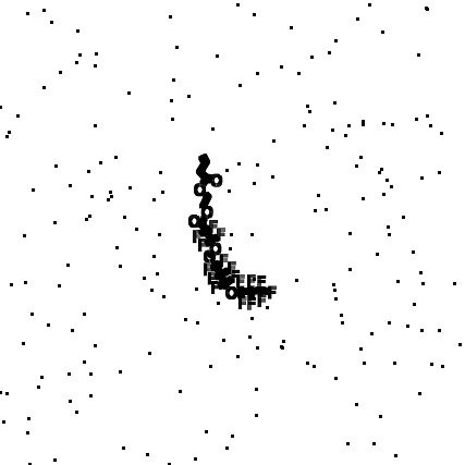 C=CCC(=O)OCCOC(=O)C(F)(F)C(F)(F)OOC(F)(F)C(F)(F)C(F)(F)OC(F)(F)C(F)(F)C(F)(F)F